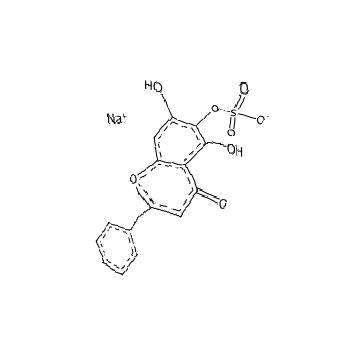 O=c1cc(-c2ccccc2)oc2cc(O)c(OS(=O)(=O)[O-])c(O)c12.[Na+]